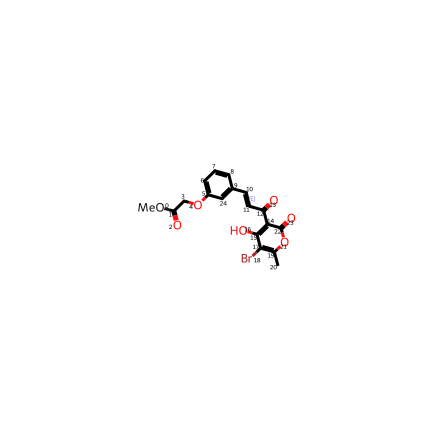 COC(=O)COc1cccc(/C=C/C(=O)c2c(O)c(Br)c(C)oc2=O)c1